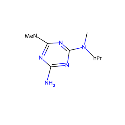 CCCN(C)c1nc(N)nc(NC)n1